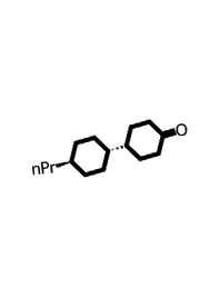 CCC[C@H]1CC[C@H](C2CCC(=O)CC2)CC1